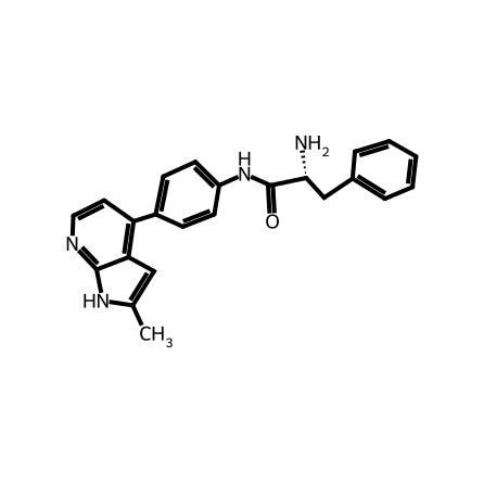 Cc1cc2c(-c3ccc(NC(=O)[C@H](N)Cc4ccccc4)cc3)ccnc2[nH]1